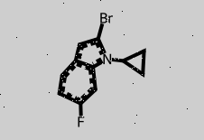 Fc1ccc2cc(Br)n(C3CC3)c2c1